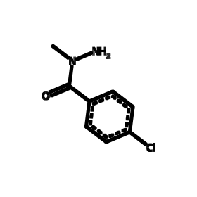 CN(N)C(=O)c1ccc(Cl)cc1